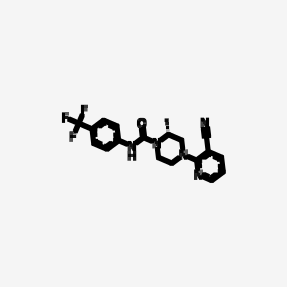 C[C@@H]1CN(c2ncccc2C#N)CCN1C(=O)Nc1ccc(C(F)(F)F)cc1